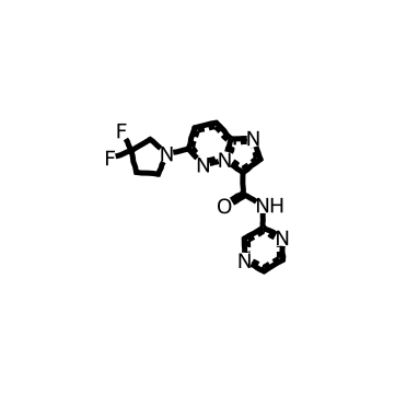 O=C(Nc1cnccn1)c1cnc2ccc(N3CCC(F)(F)C3)nn12